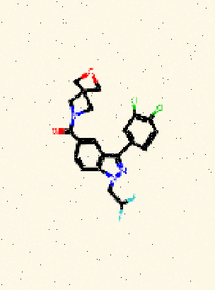 O=C(c1ccc2c(c1)c(-c1ccc(Cl)c(Cl)c1)nn2CC(F)F)N1CC2(COC2)C1